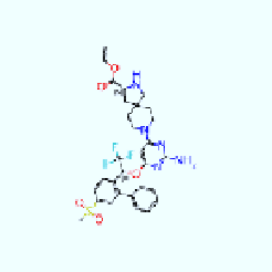 CCOC(=O)[C@@H]1CC2(CCN(c3cc(O[C@H](c4ccc(S(C)(=O)=O)cc4-c4ccccc4)C(F)(F)F)nc(N)n3)CC2)CN1